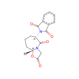 O=C1CN2C(=O)[C@@H](N3C(=O)c4ccccc4C3=O)CCC[C@H]2O1